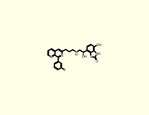 O=c1[nH]c2c(O)ccc([C@@H](O)CNCCCc3cc4cccnc4c(-c4cccc(F)c4)n3)c2s1